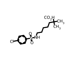 CC(C)(CCCCCNS(=O)(=O)c1ccc(Cl)cc1)C(=O)O